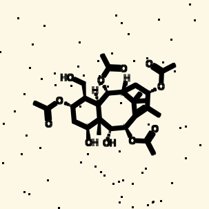 CC(=O)O[C@H]1[C@@H]2[C@H](CO)[C@@H](OC(C)=O)C[C@H](O)[C@@]2(C)[C@@H](O)[C@H](OC(C)=O)C2=C(C)[C@@H](OC(C)=O)C[C@@H]1C2(C)C